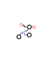 COC=Cc1ccc(OC)cc1CCN(Cc1ccccc1)Cc1ccccc1